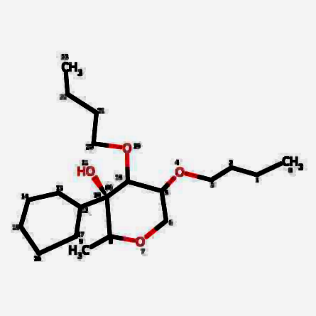 CCCCOC1COC(C)[C@](O)(C2CCCCC2)C1OCCCC